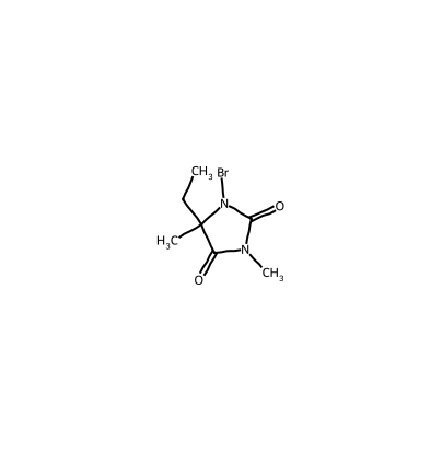 CCC1(C)C(=O)N(C)C(=O)N1Br